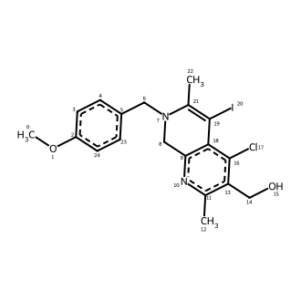 COc1ccc(CN2Cc3nc(C)c(CO)c(Cl)c3C(I)=C2C)cc1